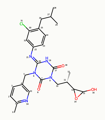 Cc1ccc(Cn2c(=O)n(C[C@H](C)C3OC3O)c(=O)[nH]/c2=N\c2ccc(CC(C)C)c(Cl)c2)cn1